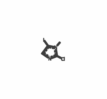 Cn1c(I)cnc1Cl